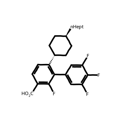 CCCCCCC[C@H]1CC[C@H](c2ccc(C(=O)O)c(F)c2-c2cc(F)c(F)c(F)c2)CC1